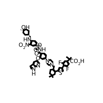 CC1(C)CCC(CN2CCN(c3ccc(C(=O)NS(=O)(=O)c4ccc(NC[C@H]5CC[C@](C)(O)CC5)c([N+](=O)[O-])c4)c(Oc4cnc5[nH]ccc5c4)c3)CC2)=C(c2cc(-c3c(F)cc(C(C)(C)C(=O)O)cc3F)cs2)C1